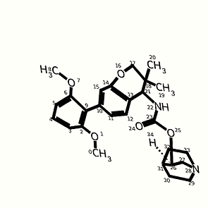 COc1cccc(OC)c1-c1ccc2c(c1)OCC(C)(C)C2NC(=O)O[C@H]1CN2CCC1CC2